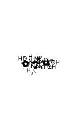 Cc1nc(N[C@@H]2CCC[C@H]2O)c2ncn([C@@H]3O[C@H](CO)[C@@H](O)[C@H]3O)c2n1